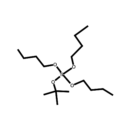 CCCC[O][Ti]([O]CCCC)([O]CCCC)[O]C(C)(C)C